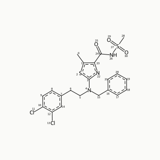 Cc1sc(N(CCc2ccc(Cl)c(Cl)c2)Cc2ccccc2)nc1C(=O)NS(C)(=O)=O